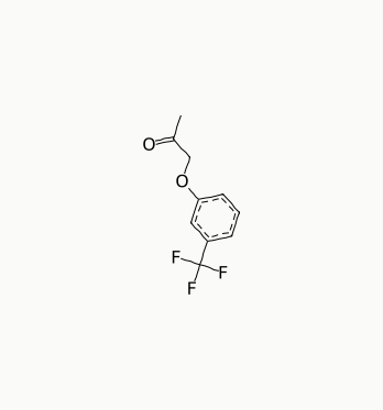 CC(=O)COc1cccc(C(F)(F)F)c1